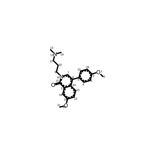 COc1ccc(-c2cn(CCCN(C)C)c(=O)c3cc(OC)ccc23)cc1